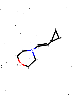 C(=CN1CCOCC1)C1CC1